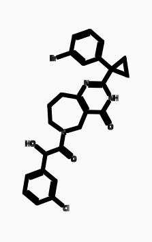 O=C(C(O)c1cccc(Cl)c1)N1CCCc2nc(C3(c4cccc(Br)c4)CC3)[nH]c(=O)c2C1